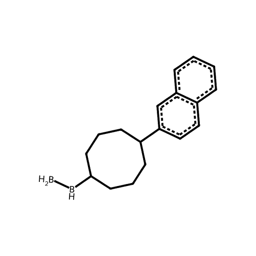 BBC1CCCC(c2ccc3ccccc3c2)CCC1